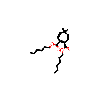 CCCCCCOC(=O)C1=C(C(=O)OCCCCCC)CCC(C)(C)C=C1